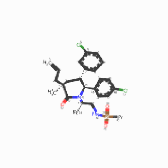 C=CC[C@@]1(C)C[C@H](c2cccc(Cl)c2)[C@@H](c2ccc(Cl)cc2)N([C@@H](CC)CNS(=O)(=O)C(C)C)C1=O